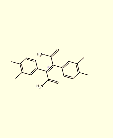 Cc1ccc(/C(C(N)=O)=C(\C(N)=O)c2ccc(C)c(C)c2)cc1C